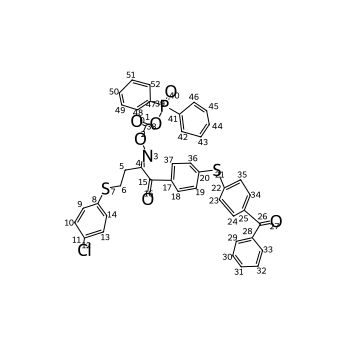 O=C(O/N=C(\CCSc1ccc(Cl)cc1)C(=O)c1ccc(Sc2ccc(C(=O)c3ccccc3)cc2)cc1)OP(=O)(c1ccccc1)c1ccccc1